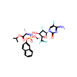 CC(C)OC(=O)[C@H](C)NP(=O)(OC[C@@]1(C(F)F)O[C@@H](n2cc(F)c(N)nc2=O)[C@H](F)[C@@H]1O)Oc1ccc2ccccc2c1